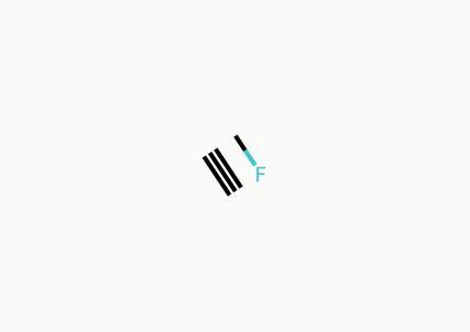 C#C.CF